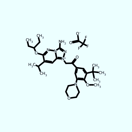 CCC(CC)Oc1nn2c(N)n[n+](CC(=O)c3cc(N4CCOCC4)c(OC)c(C(C)(C)C)c3)c2cc1C(C)C.O=C([O-])C(F)(F)F